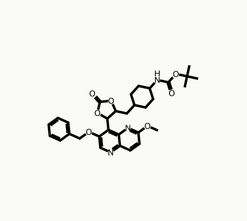 COc1ccc2ncc(OCc3ccccc3)c(C3OC(=O)OC3CC3CCC(NC(=O)OC(C)(C)C)CC3)c2n1